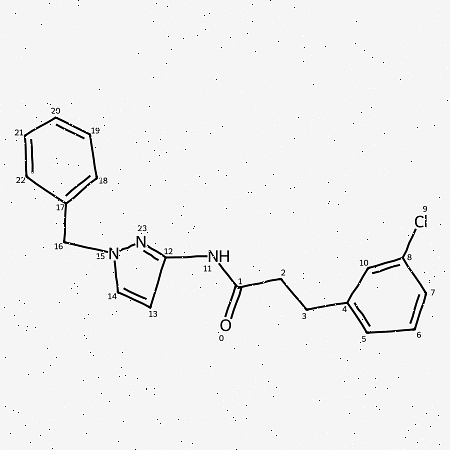 O=C(CCc1cccc(Cl)c1)Nc1ccn(Cc2ccccc2)n1